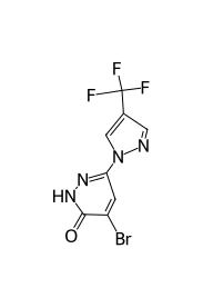 O=c1[nH]nc(-n2cc(C(F)(F)F)cn2)cc1Br